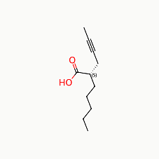 CC#CC[C@H](CCCCC)C(=O)O